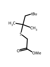 COC(=O)CSC(C)(C)CC(C)(C)C